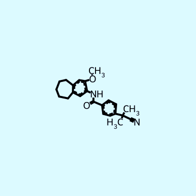 COc1cc2c(cc1NC(=O)c1ccc(C(C)(C)C#N)cc1)CCCCC2